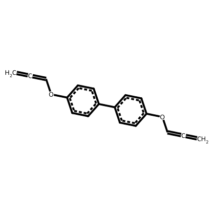 C=C=COc1ccc(-c2ccc(OC=C=C)cc2)cc1